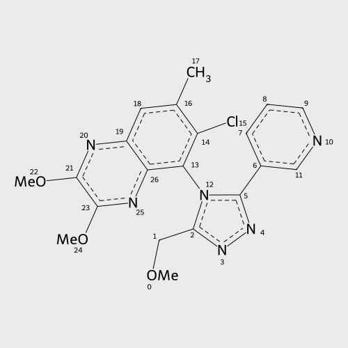 COCc1nnc(-c2cccnc2)n1-c1c(Cl)c(C)cc2nc(OC)c(OC)nc12